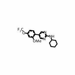 COc1cc(OC(F)(F)F)ccc1-c1cnc(NC2CCCCC2)nc1